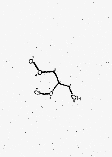 OCC(COCl)OCl